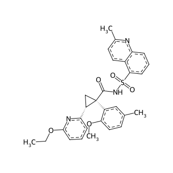 CCOc1cccc([C@@H]2C[C@]2(C(=O)NS(=O)(=O)c2cccc3nc(C)ccc23)c2cc(C)ccc2OC)n1